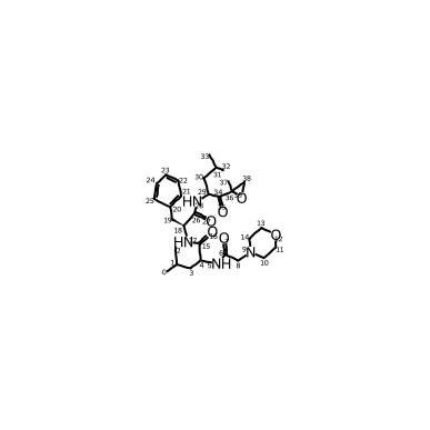 CC(C)CC(NC(=O)CN1CCOCC1)C(=O)N[C@@H](Cc1ccccc1)C(=O)NC(CC(C)C)C(=O)C1(C)CO1